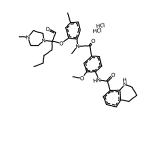 CCCCC(C=O)(Oc1cc(C)ccc1N(C)C(=O)c1ccc(NC(=O)c2cccc3c2NCCC3)c(OC)c1)N1CCN(C)CC1.Cl.Cl